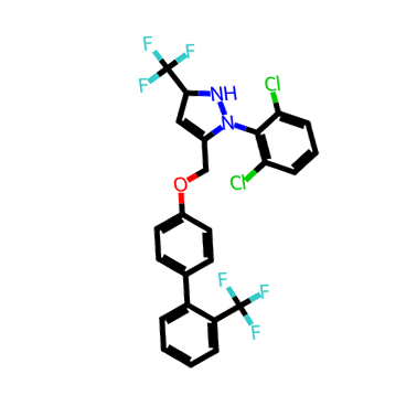 FC(F)(F)c1ccccc1-c1ccc(OCC2=CC(C(F)(F)F)NN2c2c(Cl)cccc2Cl)cc1